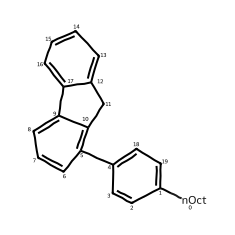 CCCCCCCCc1ccc(-c2cccc3c2Cc2ccccc2-3)cc1